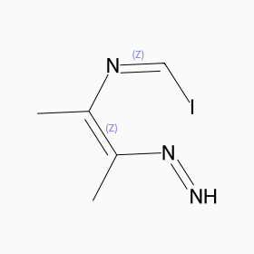 C/C(N=N)=C(C)/N=C\I